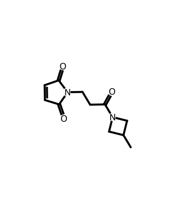 CC1CN(C(=O)CCN2C(=O)C=CC2=O)C1